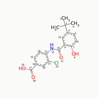 CC(C)(C)c1ccc(O)c(C(=O)Nc2ccc(C(=O)O)cc2Cl)c1